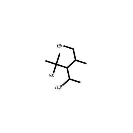 BC(C)C(C(C)CC(C)(C)C)C(C)(C)CC